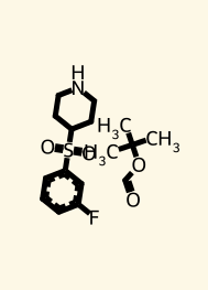 CC(C)(C)OC=O.O=S(=O)(c1cccc(F)c1)C1CCNCC1